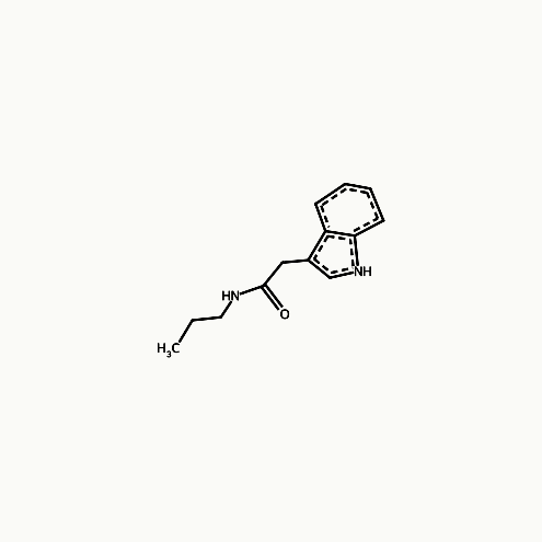 CCCNC(=O)Cc1c[nH]c2ccccc12